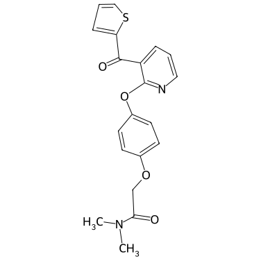 CN(C)C(=O)COc1ccc(Oc2ncccc2C(=O)c2cccs2)cc1